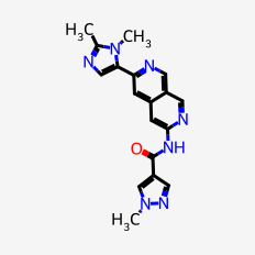 Cc1ncc(-c2cc3cc(NC(=O)c4cnn(C)c4)ncc3cn2)n1C